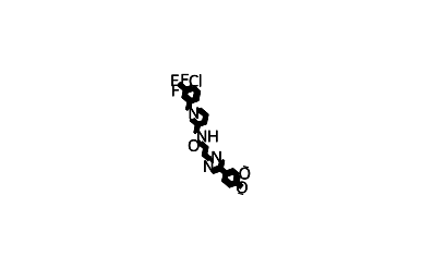 COc1ccc(-c2cnc(CCC(=O)NCC3CCCN(Cc4ccc(Cl)c(C(F)(F)F)c4)C3)nc2)cc1OC